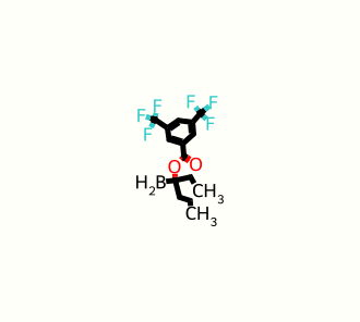 BC(CC)(CCC)OC(=O)c1cc(C(F)(F)F)cc(C(F)(F)F)c1